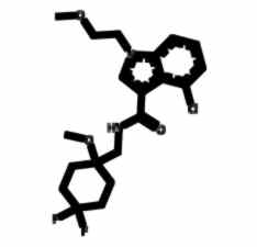 COCCn1cc(C(=O)NCC2(OC)CCC(F)(F)CC2)c2c(Cl)cccc21